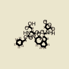 O=C(O)C[C@H](NC(=O)OCc1ccccc1)C(=O)N[C@H]1CCc2cccc3c2N(C1=O)[C@H](C(=O)N[C@H]1CC(=O)OC1O)C3